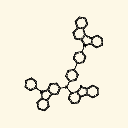 c1ccc(-n2c3ccccc3c3cc(N(c4ccc(-c5ccc(-n6c7ccccc7c7c8ccccc8ccc76)cc5)cc4)c4cccc5c4sc4ccccc45)ccc32)cc1